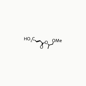 COCC(C)OC(=O)C=CC(=O)O